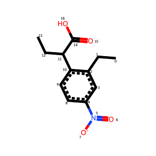 CCc1cc([N+](=O)[O-])ccc1C(CC)C(=O)O